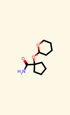 NC(=O)C1(OC2CCCCO2)CCCC1